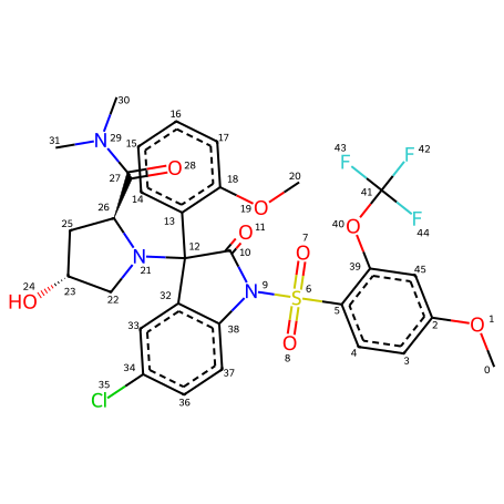 COc1ccc(S(=O)(=O)N2C(=O)C(c3ccccc3OC)(N3C[C@H](O)C[C@H]3C(=O)N(C)C)c3cc(Cl)ccc32)c(OC(F)(F)F)c1